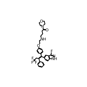 O=C(CCCNCCOc1ccc(C(=C(CC(F)(F)F)c2ccccc2)c2ccc3[nH]nc(F)c3c2)cc1)N1CCOCC1